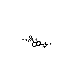 CCc1nc(-c2ccc3c(c2)CCCC3NC(=O)OC(C)(C)C)no1